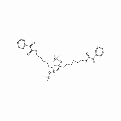 C[Si](C)(C)O[Si](C)(CCCCCCOC(=O)C(=O)c1ccccc1)O[Si](C)(CCCCCCOC(=O)C(=O)c1ccccc1)O[Si](C)(C)C